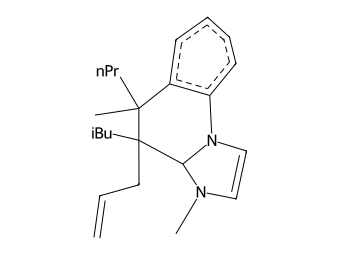 C=CCC1(C(C)CC)C2N(C)C=CN2c2ccccc2C1(C)CCC